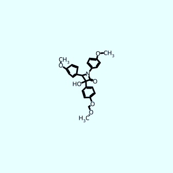 COCOc1ccc(C2(O)C(=O)N(c3ccc(OC)cc3)C2c2ccc(OC)cc2)cc1